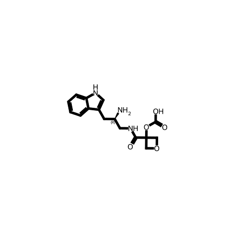 N[C@@H](CNC(=O)C1(OC(=O)O)COC1)Cc1c[nH]c2ccccc12